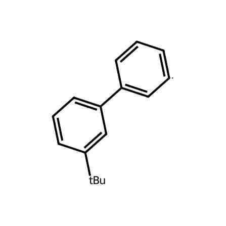 CC(C)(C)c1cccc(-c2c[c]ccc2)c1